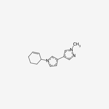 Cn1cc(-c2ccn(C3C=CCCC3)c2)cn1